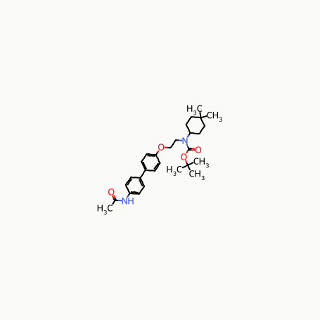 CC(=O)Nc1ccc(-c2ccc(OCCN(C(=O)OC(C)(C)C)C3CCC(C)(C)CC3)cc2)cc1